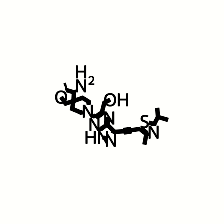 Cc1nc(C(C)C)sc1C#Cc1n[nH]c2nc(N3CCC4(CC3)CO[C@@H](C)[C@H]4N)c(CO)nc12